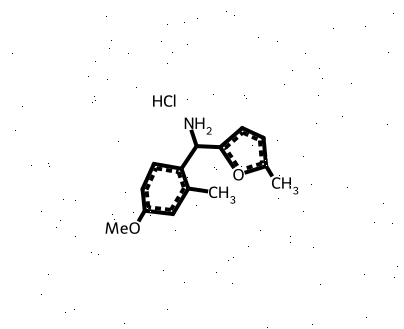 COc1ccc(C(N)c2ccc(C)o2)c(C)c1.Cl